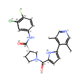 Cc1cncc(C)c1-c1ccc(C(=O)N2CC[C@H](C(=O)Nc3ccc(F)c(Cl)c3)C2)[nH]1